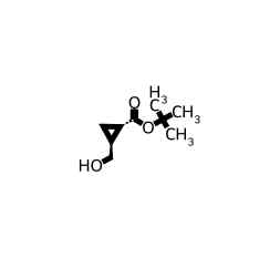 CC(C)(C)OC(=O)[C@H]1C[C@@H]1CO